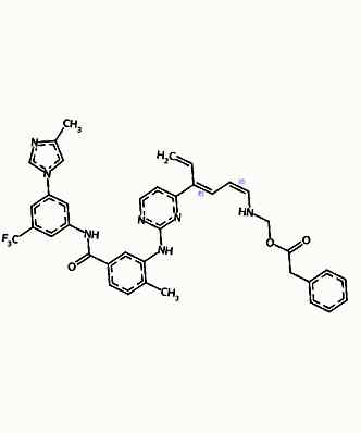 C=C/C(=C\C=C/NCOC(=O)Cc1ccccc1)c1ccnc(Nc2cc(C(=O)Nc3cc(-n4cnc(C)c4)cc(C(F)(F)F)c3)ccc2C)n1